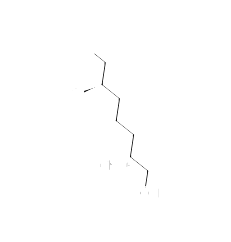 OC[C@H](Cl)CCC[C@@H](Cl)CO